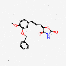 COc1ccc(C=CC=C2OC(=O)NC2=O)cc1OCc1ccccc1